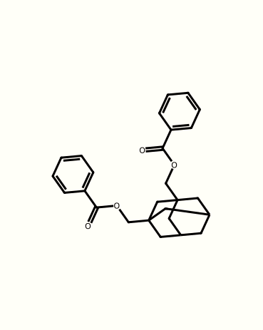 O=C(OCC12CC3CC(C1)CC(COC(=O)c1ccccc1)(C3)C2)c1ccccc1